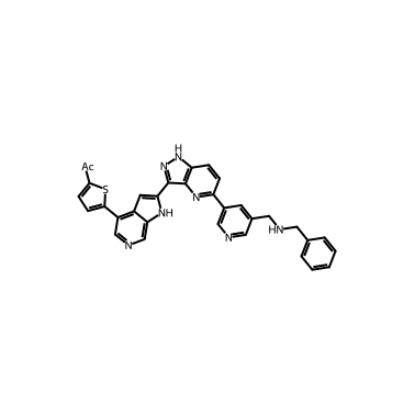 CC(=O)c1ccc(-c2cncc3[nH]c(-c4n[nH]c5ccc(-c6cncc(CNCc7ccccc7)c6)nc45)cc23)s1